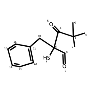 CC(C)(C)C(=O)C(S)([C]=O)Cc1ccccc1